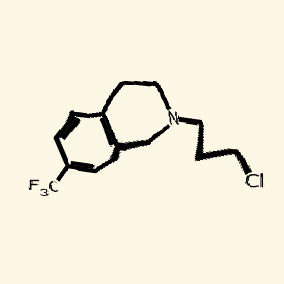 FC(F)(F)c1ccc2c(c1)CN(CCCCl)CC2